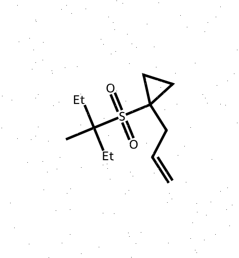 C=CCC1(S(=O)(=O)C(C)(CC)CC)CC1